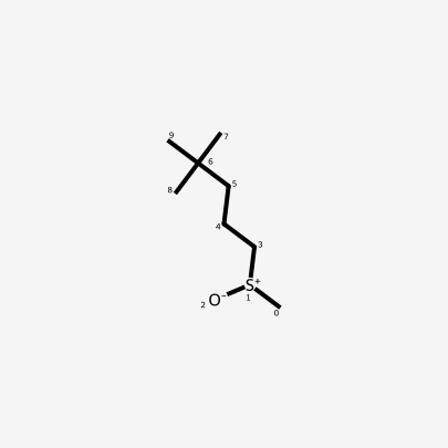 C[S+]([O-])CCCC(C)(C)C